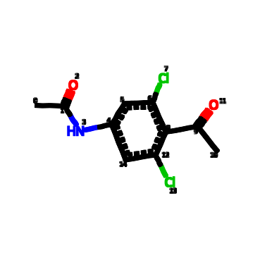 CC(=O)Nc1cc(Cl)c(C(C)=O)c(Cl)c1